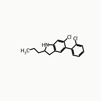 CCCC1Cc2cc(-c3ccccc3Cl)c(Cl)cc2N1